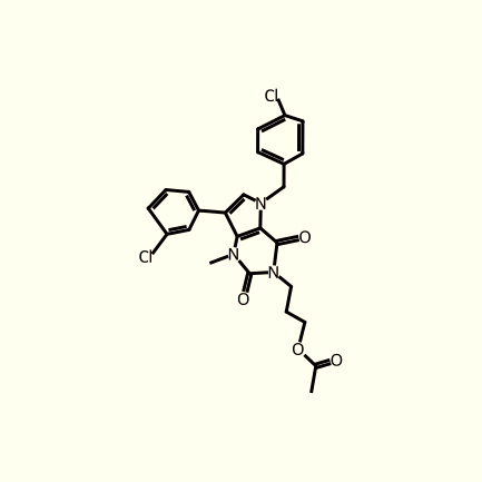 CC(=O)OCCCn1c(=O)c2c(c(-c3cccc(Cl)c3)cn2Cc2ccc(Cl)cc2)n(C)c1=O